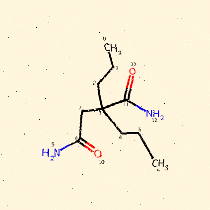 CCCC(CCC)(CC(N)=O)C(N)=O